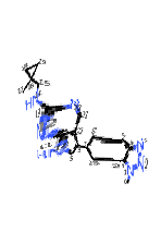 Cn1nnc2ccc(-c3c[nH]c4nc(NCC5(C)CC5)ncc34)cc21